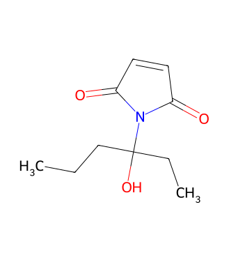 CCCC(O)(CC)N1C(=O)C=CC1=O